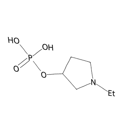 CCN1CCC(OP(=O)(O)O)C1